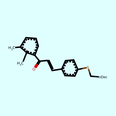 CCCCCCCCCCCSc1ccc(C=CC(=O)c2cccc(C)c2C)cc1